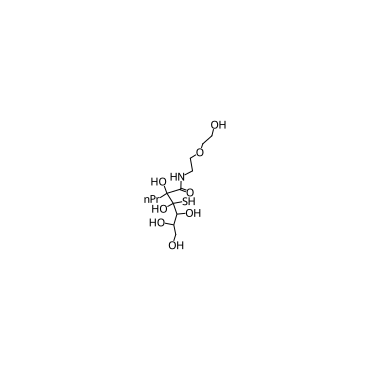 CCCC(O)(C(=O)NCCOCCO)C(O)(S)C(O)C(O)CO